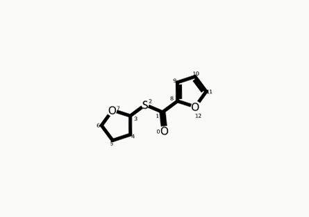 O=C(SC1CCCO1)c1ccco1